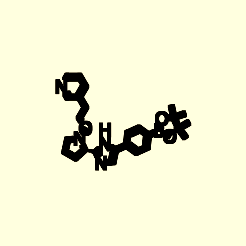 CC1(C)OB(c2ccc(-c3cnc([C@@H]4CCCN4OCCc4cccnc4)[nH]3)cc2)OC1(C)C